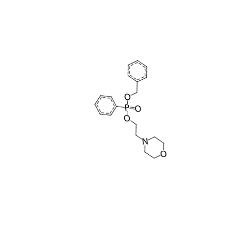 O=P(OCCN1CCOCC1)(OCc1ccccc1)c1ccccc1